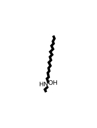 CCCCCCCCCCCCCCCCCC(O)NCCC